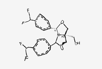 OC[C@]12COC(c3ccc(C(F)F)cc3)N1[C@H](c1ccc(C(F)F)cc1)OC2